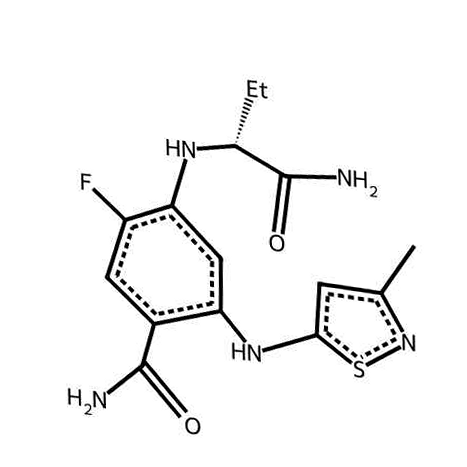 CC[C@@H](Nc1cc(Nc2cc(C)ns2)c(C(N)=O)cc1F)C(N)=O